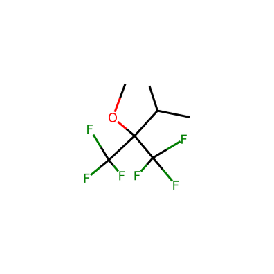 COC(C(C)C)(C(F)(F)F)C(F)(F)F